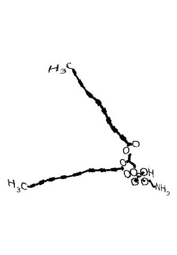 CC#CC#CC#CC#CC#CC#CC#CC#CC(=O)OCC(COP(=O)(O)OCCN)OC(=O)C#CC#CC#CC#CC#CC#CC#CC#CC